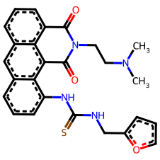 CN(C)CCN1C(=O)c2cccc3cc4cccc(NC(=S)NCc5ccco5)c4c(c23)C1=O